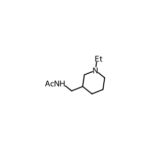 CCN1CCCC(CNC(C)=O)C1